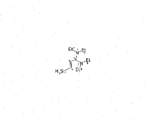 CCN(CC)C(C=C[SiH3])N(CC)CC